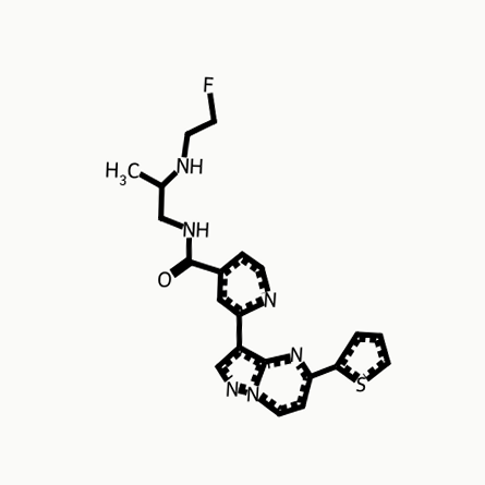 CC(CNC(=O)c1ccnc(-c2cnn3ccc(-c4cccs4)nc23)c1)NCCF